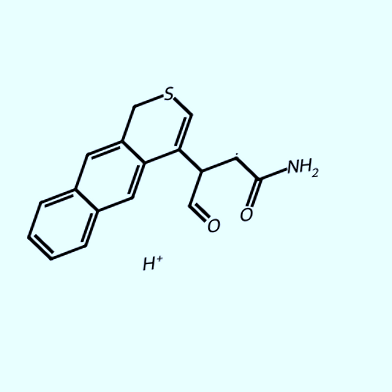 NC(=O)[CH]C(C=O)C1=CSCc2cc3ccccc3cc21.[H+]